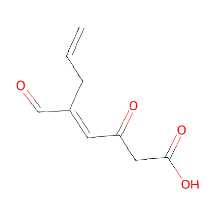 C=CC/C(C=O)=C\C(=O)CC(=O)O